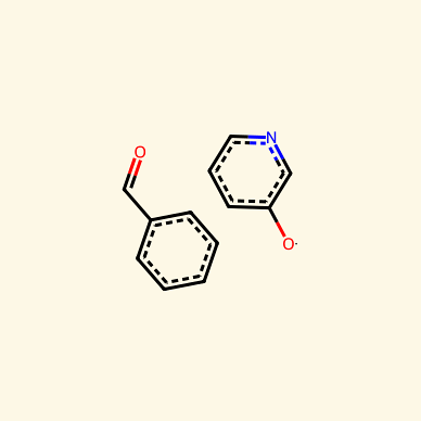 O=Cc1ccccc1.[O]c1cccnc1